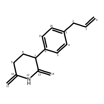 C=CCc1ccc(C2CCC(=C)NC2=C)cc1